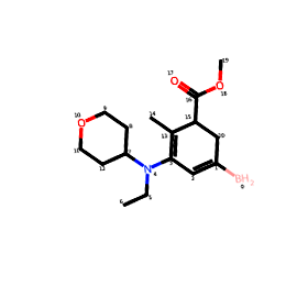 BC1=CC(N(CC)C2CCOCC2)=C(C)C(C(=O)OC)C1